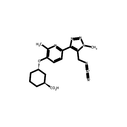 Cc1nc(-c2nnn(C)c2CN=[N+]=[N-])ccc1O[C@H]1CCC[C@H](C(=O)O)C1